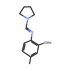 COc1cc(C)ccc1N=CN1CCCC1